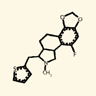 CN1CC2c3c(F)cc4c(c3CCC2C1Cc1cccs1)OCO4